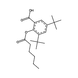 CCCCCC(=O)Oc1c(C(=O)O)cc(C(C)(C)C)cc1C(C)(C)C